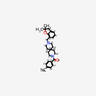 CC1(C)Cc2cccc(CN3CCC4(CC3)CCN(C(=O)c3ccc(C#N)cc3)CC4)c2O1